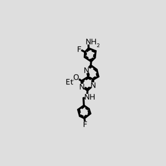 CCOc1nc(NCc2ccc(F)cc2)nc2ccc(-c3ccc(N)c(F)c3)nc12